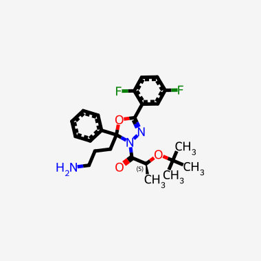 C[C@H](OC(C)(C)C)C(=O)N1N=C(c2cc(F)ccc2F)OC1(CCCN)c1ccccc1